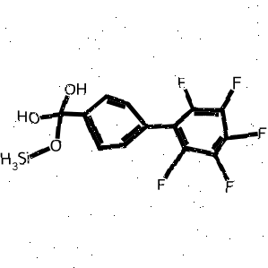 OC(O)(O[SiH3])c1ccc(-c2c(F)c(F)c(F)c(F)c2F)cc1